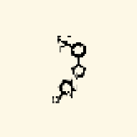 FC(F)(F)c1cccc(C2CCN(c3ccc(Cl)nn3)C2)c1